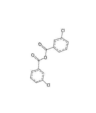 O=C(OC(=O)c1cccc(Cl)c1)c1cccc(Cl)c1